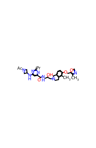 CC(=O)N1CC(Nc2cc(C(=O)NCC(O)CN3CCc4c(ccc(OCc5ocnc5C)c4C)C3)nc(C(C)C)n2)C1